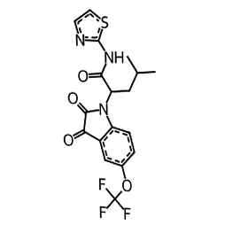 CC(C)CC(C(=O)Nc1nccs1)N1C(=O)C(=O)c2cc(OC(F)(F)F)ccc21